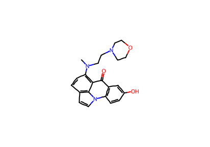 CN(CCN1CCOCC1)c1ccc2ccn3c4ccc(O)cc4c(=O)c1c23